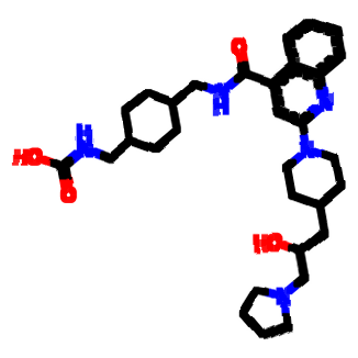 O=C(O)NCC1CCC(CNC(=O)c2cc(N3CCC(CC(O)CN4CCCC4)CC3)nc3ccccc23)CC1